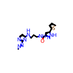 CN=Nc1nccc(NCCCNC(=O)c2cc(-c3cccs3)[nH]n2)n1